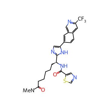 CNC(=O)CCCCC[C@H](NC(=O)c1cncs1)c1ncc(-c2ccc3cc(C(F)(F)F)ncc3c2)[nH]1